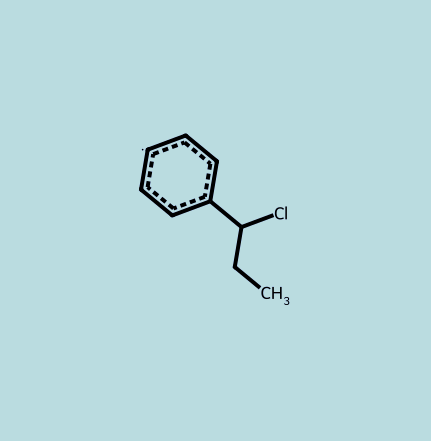 CCC(Cl)c1cc[c]cc1